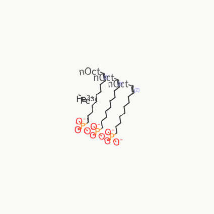 CCCCCCCC/C=C\CCCCCCCCP(=O)([O-])[O-].CCCCCCCC/C=C\CCCCCCCCP(=O)([O-])[O-].CCCCCCCC/C=C\CCCCCCCCP(=O)([O-])[O-].[Fe+3].[Fe+3]